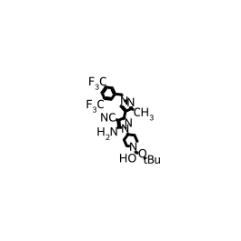 Cc1nn(Cc2cc(C(F)(F)F)cc(C(F)(F)F)c2)cc1-c1nn(C2CCN(C(O)OC(C)(C)C)CC2)c(N)c1C#N